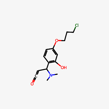 CN(C)C(C=C=O)c1ccc(OCCCCl)cc1O